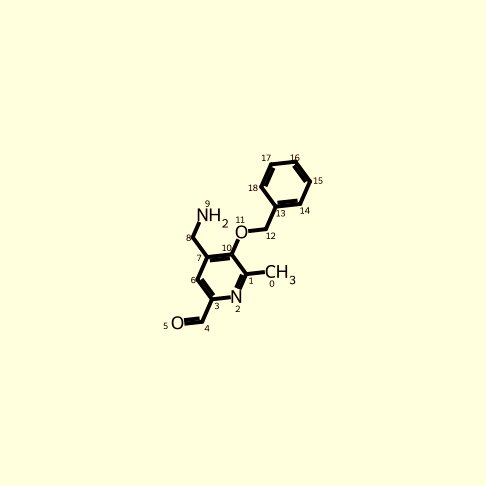 Cc1nc(C=O)cc(CN)c1OCc1ccccc1